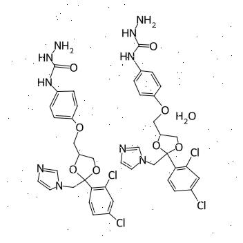 NNC(=O)Nc1ccc(OCC2COC(Cn3ccnc3)(c3ccc(Cl)cc3Cl)O2)cc1.NNC(=O)Nc1ccc(OCC2COC(Cn3ccnc3)(c3ccc(Cl)cc3Cl)O2)cc1.O